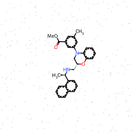 COC(=O)c1cc(C)cc(N2C[C@@H](CN[C@H](C)c3cccc4ccccc34)Oc3ccccc32)c1